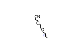 C/C=C/COCCOCCC#N